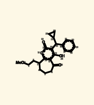 COCCC1CCCC(=O)c2c1oc(=O)c(C(c1ccccc1)C1CC1)c2O